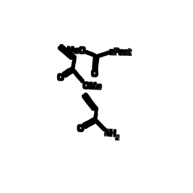 C=CC(=O)OC.C=CC(N)=O.CCCCCC(=O)OC